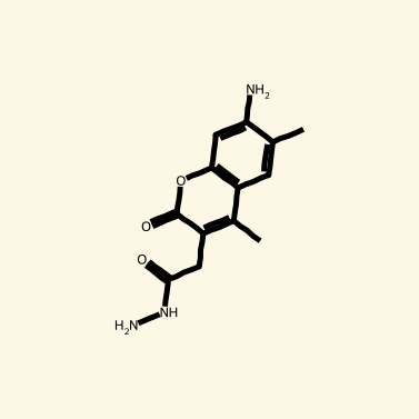 Cc1cc2c(C)c(CC(=O)NN)c(=O)oc2cc1N